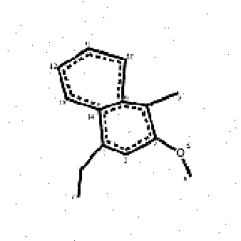 CCc1cc(OC)c(C)c2ccccc12